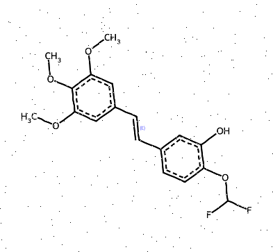 COc1cc(/C=C/c2ccc(OC(F)F)c(O)c2)cc(OC)c1OC